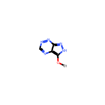 CCOc1[nH]nc2nncnc12